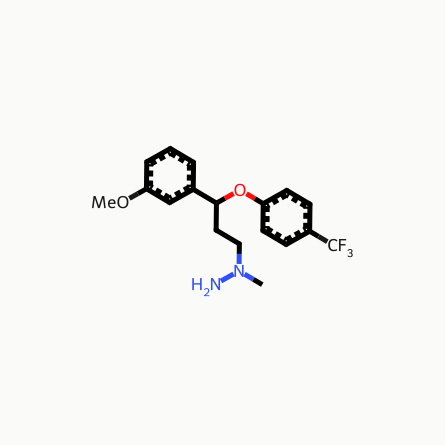 COc1cccc(C(CCN(C)N)Oc2ccc(C(F)(F)F)cc2)c1